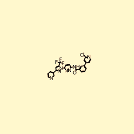 O=C(Nc1ccc(-n2nc(-c3cccnc3)cc2C(F)(F)F)nn1)c1cccc(-c2ccnc(Cl)c2)c1